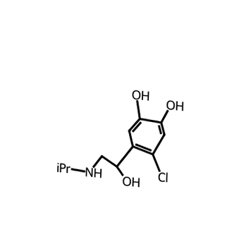 CC(C)NCC(O)c1cc(O)c(O)cc1Cl